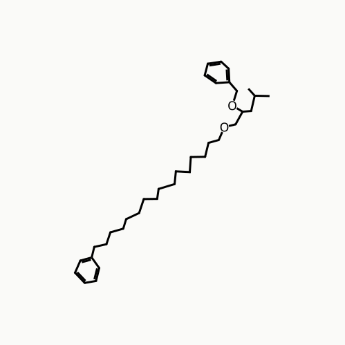 CC(C)CC(COCCCCCCCCCCCCCCCCc1ccccc1)OCc1ccccc1